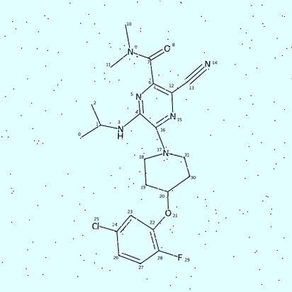 CC(C)Nc1nc(C(=O)N(C)C)c(C#N)nc1N1CCC(Oc2cc(Cl)ccc2F)CC1